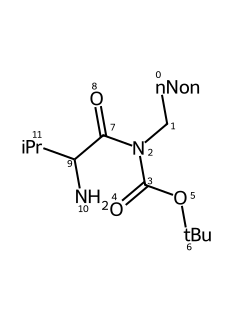 CCCCCCCCCCN(C(=O)OC(C)(C)C)C(=O)C(N)C(C)C